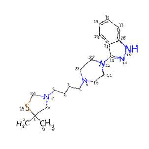 CC1(C)CN(CCCCN2CCN(c3n[nH]c4ccccc34)CC2)CS1